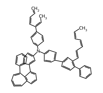 C=C/C=C\C(=C/C)c1ccc(N(c2ccc(-c3ccc(-c4ccccc4)c(/C=C/C=C\C=C/C)c3)cc2)c2cccc(-c3cccc4c3C(c3ccccc3)=CC=C=C4)c2)cc1